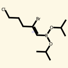 CC(C)OB(/C=C(\Br)CCCCl)OC(C)C